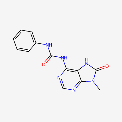 Cn1c(=O)[nH]c2c(NC(=O)Nc3ccccc3)ncnc21